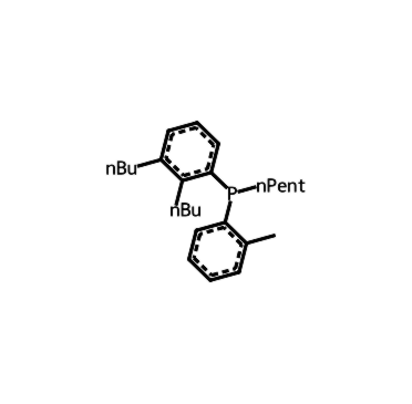 CCCCCP(c1ccccc1C)c1cccc(CCCC)c1CCCC